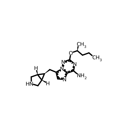 CCC[C@H](C)Oc1nc(N)c2ncc(C[C@H]3[C@@H]4CNC[C@@H]43)n2n1